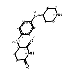 O=C1CCC(Nc2ccc(OC3CCNCC3)cc2)C(=O)N1